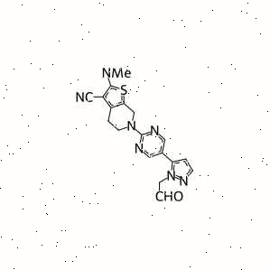 CNc1sc2c(c1C#N)CCN(c1ncc(-c3ccnn3CC=O)cn1)C2